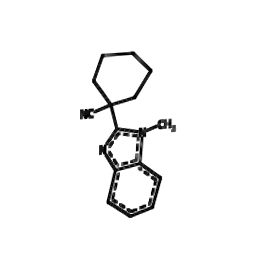 Cn1c(C2(C#N)CCCCC2)nc2ccccc21